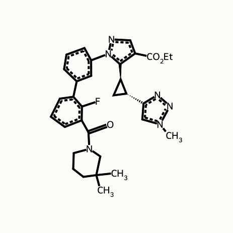 CCOC(=O)c1cnn(-c2cccc(-c3cccc(C(=O)N4CCCC(C)(C)C4)c3F)c2)c1[C@@H]1C[C@H]1c1cn(C)nn1